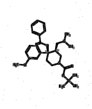 COc1cccc([C@@]2(OC(=O)c3ccccc3)CCN(C(=O)OC(C)(C)C)C[C@@H]2CN(C)C)c1